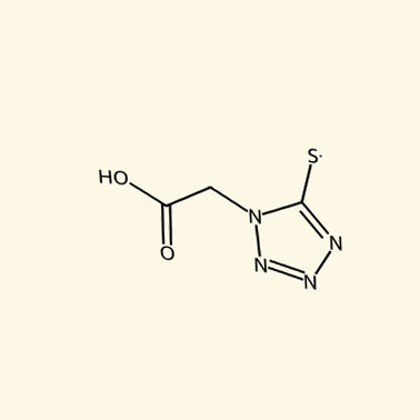 O=C(O)Cn1nnnc1[S]